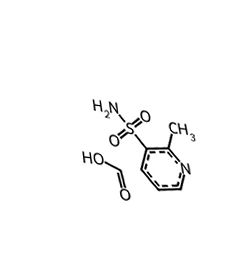 Cc1ncccc1S(N)(=O)=O.O=CO